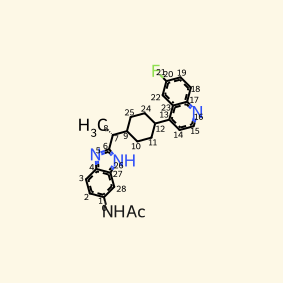 CC(=O)Nc1ccc2nc([C@H](C)C3CCC(c4ccnc5ccc(F)cc45)CC3)[nH]c2c1